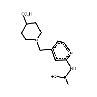 CB(O)Nc1cc(CN2CCC(C(=O)O)CC2)ccn1